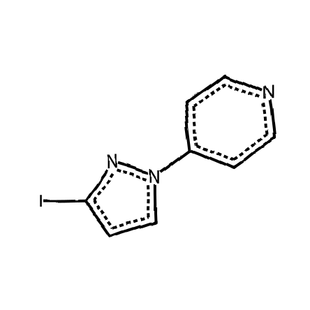 Ic1ccn(-c2ccncc2)n1